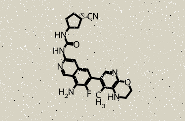 Cc1c(-c2cc3cc(NC(=O)NC4CC[C@H](C#N)C4)ncc3c(N)c2F)cnc2c1NCCO2